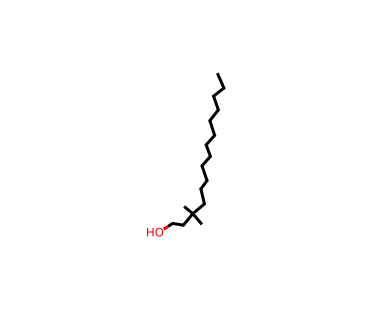 CCCCCCCCCCCCC(C)(C)CCO